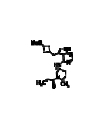 C=CC(=O)N1C[C@H](Nc2ncnc3[nH]cc(CC4CC(OC)C4)c23)CC[C@@H]1C